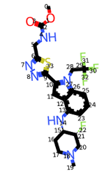 COC(=O)NCc1nnc(-c2cc3c(N[C@H]4CCN(C)C[C@H]4F)cccc3n2CC(F)(F)F)s1